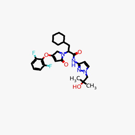 CC(C)(O)Cn1ccc(NC(=O)C(CC2CCCCC2)N2CC(Oc3c(F)cccc3F)=CC2=O)n1